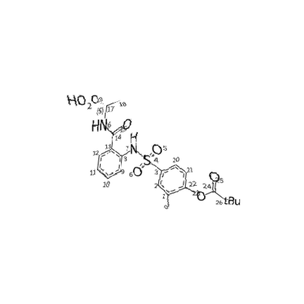 Cc1cc(S(=O)(=O)Nc2ccccc2C(=O)N[C@@H](C)C(=O)O)ccc1OC(=O)C(C)(C)C